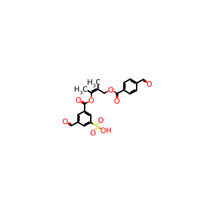 C/C(COC(=O)c1ccc(C=O)cc1)=C(\C)OC(=O)c1cc(C=O)cc(S(=O)(=O)O)c1